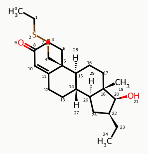 CCSSC[C@]12CCC(=O)C=C1CC[C@@H]1[C@@H]2CC[C@]2(C)[C@@H](O)[C@@H](CC)C[C@@H]12